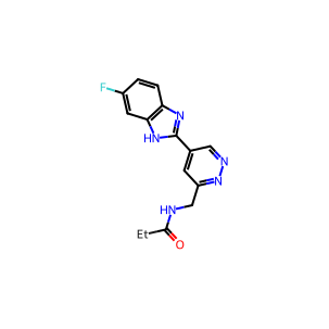 CCC(=O)NCc1cc(-c2nc3ccc(F)cc3[nH]2)cnn1